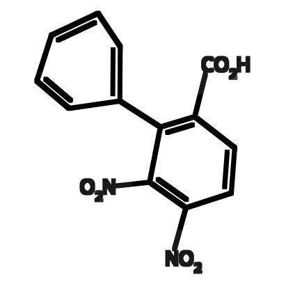 O=C(O)c1ccc([N+](=O)[O-])c([N+](=O)[O-])c1-c1ccccc1